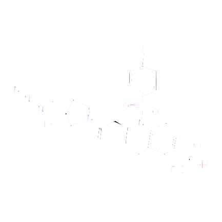 [N-]=[N+]=NCC1(O)CCN(C(=O)C[C@@H]2CCc3cc(C(O)(C(F)(F)F)C(F)(F)F)ccc3N2S(=O)(=O)c2ccc(F)cc2)C1